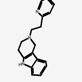 c1ccc(CCN2CCc3[nH]c4ccccc4c3C2)nc1